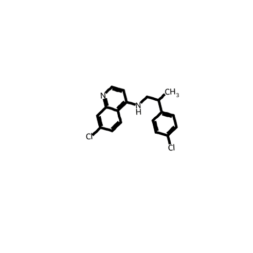 CC(CNc1ccnc2cc(Cl)ccc12)c1ccc(Cl)cc1